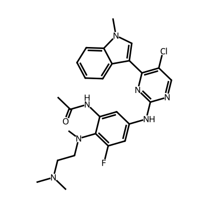 CC(=O)Nc1cc(Nc2ncc(Cl)c(-c3cn(C)c4ccccc34)n2)cc(F)c1N(C)CCN(C)C